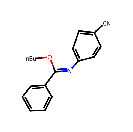 CCCCOC(=Nc1ccc(C#N)cc1)c1ccccc1